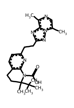 Cc1ncc(C)n2nc(CCc3ccc4c(n3)N(C(=O)O)C(C)(C(C)(C)C)CC4)nc12